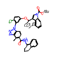 CCOC(=O)C(Oc1ccc(Cl)c(-n2nnc3c(C)c(C(=O)NC4CCCc5ccccc54)ccc32)c1)c1cn(C(=O)OC(C)(C)C)c2ccccc12